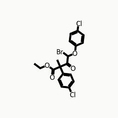 CCOC(=O)C(C)(C(=O)C(Br)Oc1ccc(Cl)cc1)c1ccc(Cl)cc1